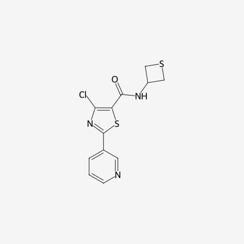 O=C(NC1CSC1)c1sc(-c2cccnc2)nc1Cl